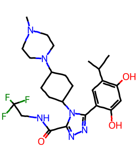 CC(C)c1cc(-c2nnc(C(=O)NCC(F)(F)F)n2C2CCC(N3CCN(C)CC3)CC2)c(O)cc1O